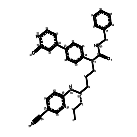 CCC[C@@H](CCCN(C(=O)NCc1ccccc1)c1ccc(-c2cc[nH]c(=O)c2)cc1)Nc1ccc(C#N)cn1